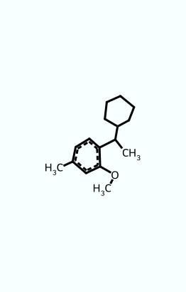 COc1cc(C)ccc1C(C)C1CCCCC1